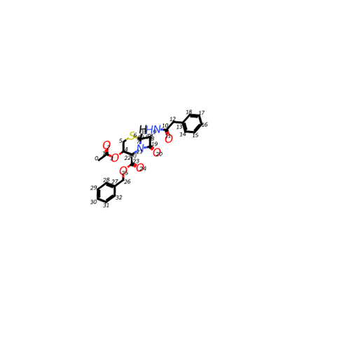 CC(=O)OC1CS[C@@H]2[C@H](NC(=O)Cc3ccccc3)C(=O)N2[C@H]1C(=O)OCc1ccccc1